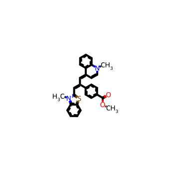 COC(=O)c1ccc(C(=C\c2sc3ccccc3[n+]2C)/C=C2\C=CN(C)c3ccccc32)cc1